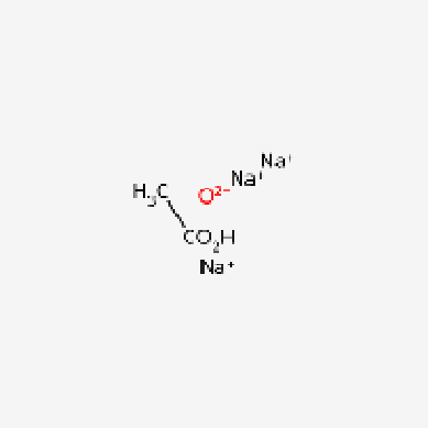 CC(=O)O.[Na+].[Na+].[Na+].[O-2]